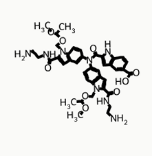 COC(C)OCn1c(C(=O)NCCN)cc2cc(N(C(=O)c3cc4cc(C(=O)O)ccc4[nH]3)c3ccc4c(c3)cc(C(=O)NCCN)n4COC(C)OC)ccc21